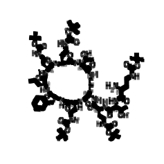 CCC[C@@H]1NC(=O)[C@@H](Cc2ccccc2)NC(=O)[C@H](CCNC(=O)OC(C)(C)C)NC(=O)[C@@H](NC(=O)[C@H](CCNC(=O)OC(C)(C)C)NC(=O)[C@@H](NC(=O)[C@@H](N)CCNC(=O)OC(C)(C)C)C(C)O)CCNC(=O)[C@H](C(C)O)NC(=O)[C@H](CCNC(=O)OC(C)(C)C)NC(=O)[C@H](CCNC(=O)OC(C)(C)C)NC1=O